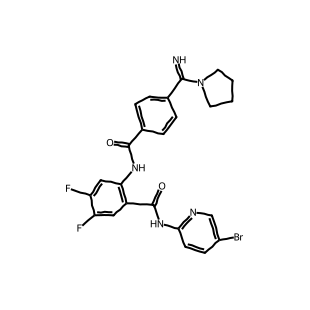 N=C(c1ccc(C(=O)Nc2cc(F)c(F)cc2C(=O)Nc2ccc(Br)cn2)cc1)N1CCCC1